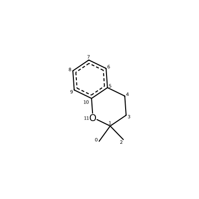 CC1(C)CCc2ccccc2O1